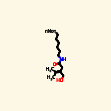 CCCCCCCCCCCCCCCNC(=O)CC(CO)=C(C)C